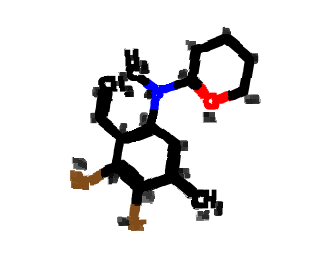 C=Cc1c(N(C)C2CCCCO2)cc(C)c(Br)c1Br